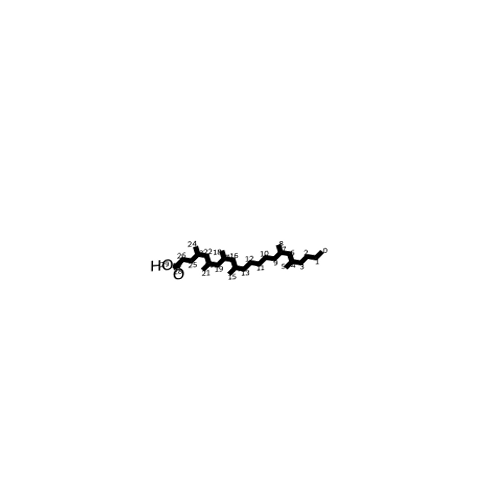 CCCCC(C)CC(C)CCCCCC(C)CC(C)CC(C)CC(C)CCC(=O)O